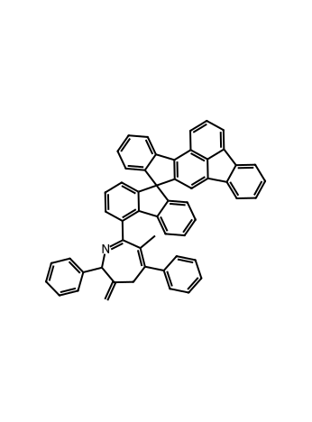 C=C1CC(c2ccccc2)=C(C)C(c2cccc3c2-c2ccccc2C32c3ccccc3-c3c2cc2c4c(cccc34)-c3ccccc3-2)=NC1c1ccccc1